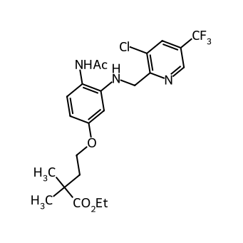 CCOC(=O)C(C)(C)CCOc1ccc(NC(C)=O)c(NCc2ncc(C(F)(F)F)cc2Cl)c1